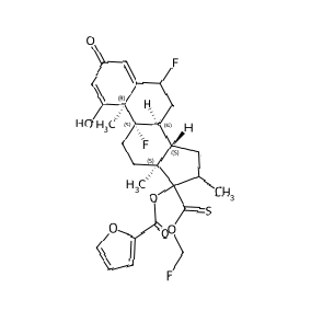 CC1C[C@H]2[C@@H]3CC(F)C4=CC(=O)C=C(O)[C@]4(C)[C@]3(F)CC[C@]2(C)C1(OC(=O)c1ccco1)C(=S)OCF